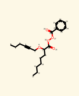 CCCC#CCOC(CCCCCC)C(=O)OOC(=O)c1ccccc1